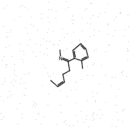 C/C=C\CC/C(=N/C)c1ccccc1C